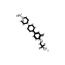 CCC[Si@H]1CC[C@H](C2CCC(c3ccc(OCC(F)(F)C(F)(F)F)c(F)c3)CC2)CC1